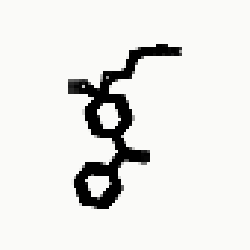 CCCCCCCCCCCCOC1(O)C=CC(C(=O)c2ccccc2)C=C1